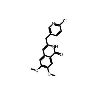 COc1cc2cc(Cc3ccc(Cl)nc3)[nH]c(=O)c2cc1OC